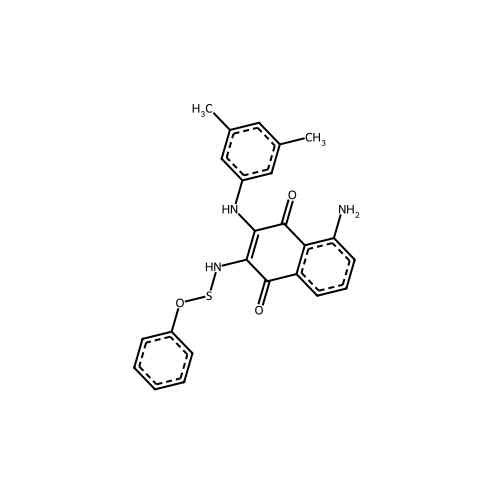 Cc1cc(C)cc(NC2=C(NSOc3ccccc3)C(=O)c3cccc(N)c3C2=O)c1